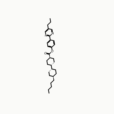 CCCCC[C@H]1CC[C@H]([C@H]2CC[C@H](C(=O)Oc3ccc(-c4ncc(CCC)cn4)cc3)CC2)CC1